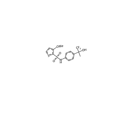 COc1ccsc1S(=O)(=O)Nc1ccc(C(C)(O)C(F)(F)F)cc1